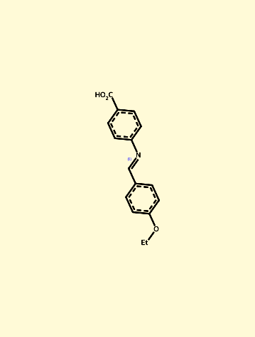 CCOc1ccc(/C=N/c2ccc(C(=O)O)cc2)cc1